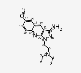 CCN(CC)CCn1nc(N)c2cc3cc(OC)ccc3nc21